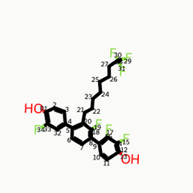 Oc1ccc(-c2ccc(-c3ccc(O)c(F)c3F)c(F)c2CCCCCCCC(F)(F)F)cc1F